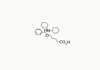 C1CCC(NC2CCCCC2)CC1.O=C(O)CCCCOCc1ccccc1